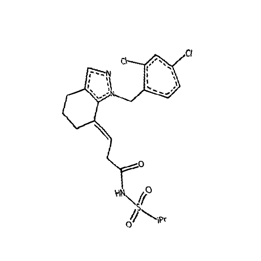 CC(C)S(=O)(=O)NC(=O)C/C=C1\CCCc2cnn(Cc3ccc(Cl)cc3Cl)c21